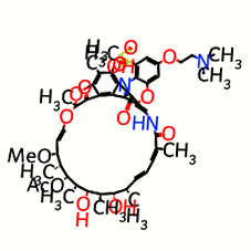 CO[C@H]1/C=C/O[C@@]2(C)Oc3c(C)c(O)c4c(=O)c(c5oc6cc(OCCN(C)C)cc(S(C)(=O)=O)c6nc-5c4c3C2=O)NC(=O)/C(C)=C\C=C\[C@H](C)[C@H](O)[C@@H](C)[C@@H](O)[C@@H](C)[C@H](OC(C)=O)[C@@H]1C